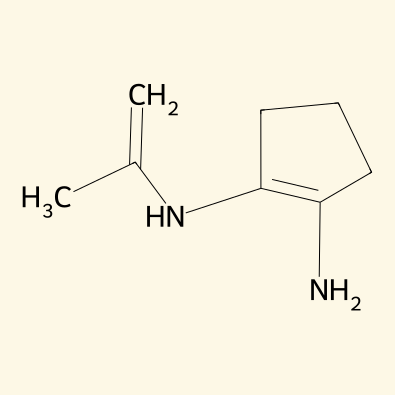 C=C(C)NC1=C(N)CCC1